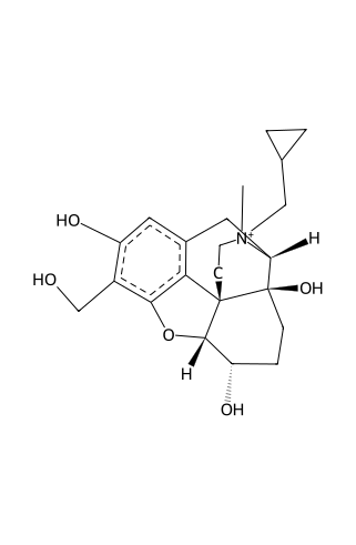 C[N+]1(CC2CC2)CC[C@]23c4c5cc(O)c(CO)c4O[C@H]2[C@@H](O)CC[C@@]3(O)[C@H]1C5